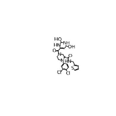 O=C(NCc1cccs1)[C@@H]1CN(C(=O)C2=CC(O)NC(O)N2)CCN1c1ccc(Cl)c(Cl)c1